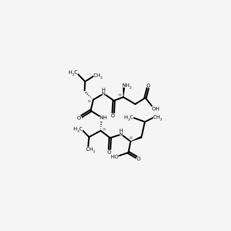 CC(C)C[C@H](NC(=O)[C@@H](NC(=O)[C@H](CC(C)C)NC(=O)[C@@H](N)CC(=O)O)C(C)C)C(=O)O